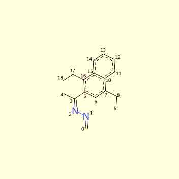 C=N/N=C(/C)c1cc(CC)c2ccccc2c1CC